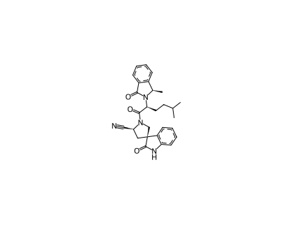 CC(C)CC[C@@H](C(=O)N1C[C@]2(C[C@H]1C#N)C(=O)Nc1ccccc12)N1C(=O)c2ccccc2[C@H]1C